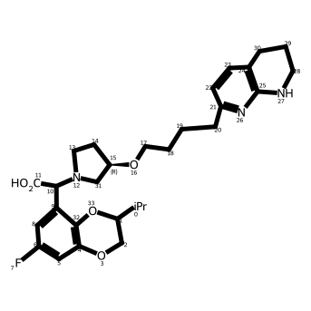 CC(C)C1COc2cc(F)cc(C(C(=O)O)N3CC[C@@H](OCCCCc4ccc5c(n4)NCCC5)C3)c2O1